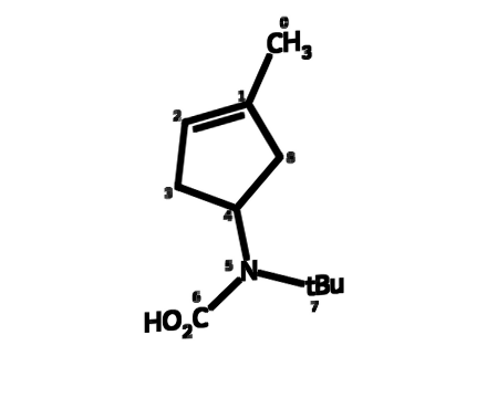 CC1=CCC(N(C(=O)O)C(C)(C)C)C1